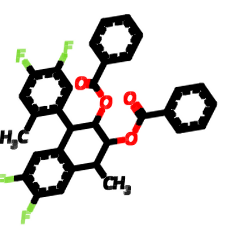 Cc1cc(F)c(F)cc1C1c2cc(F)c(F)cc2C(C)C(OC(=O)c2ccccc2)C1OC(=O)c1ccccc1